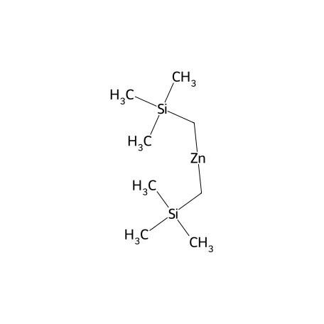 C[Si](C)(C)[CH2][Zn][CH2][Si](C)(C)C